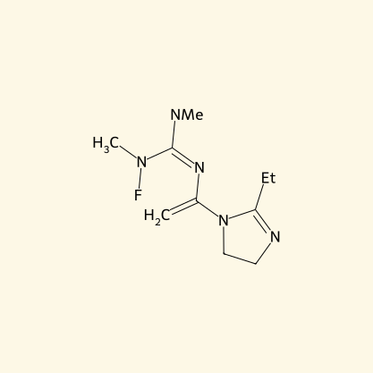 C=C(/N=C(/NC)N(C)F)N1CCN=C1CC